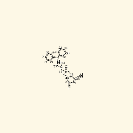 CC(F)(Cc1cc(F)cc(C#N)c1)CC1CN(C(c2ccccc2)c2ccccc2)C1